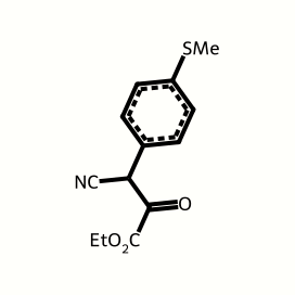 CCOC(=O)C(=O)C(C#N)c1ccc(SC)cc1